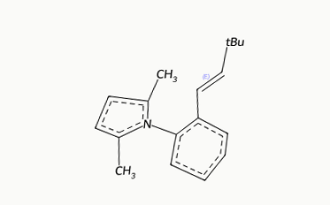 Cc1ccc(C)n1-c1ccccc1/C=C/C(C)(C)C